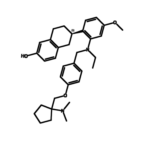 CCN(Cc1ccc(OCC2(N(C)C)CCCC2)cc1)c1cc(OC)ccc1[C@@H]1CCc2cc(O)ccc2C1